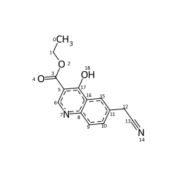 CCOC(=O)c1cnc2ccc(CC#N)cc2c1O